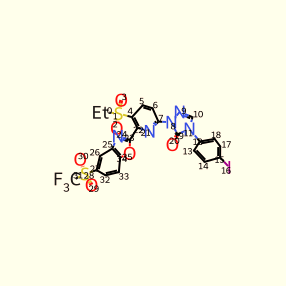 CCS(=O)(=O)c1ccc(-n2ncn(-c3ccc(I)cc3)c2=O)nc1-c1nc2cc(S(=O)(=O)C(F)(F)F)ccc2o1